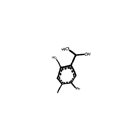 Cc1cc(O)c(C(O)O)cc1C(C)C